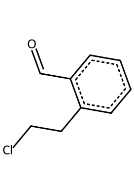 O=Cc1ccccc1CCCl